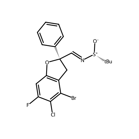 CC(C)(C)[S@@+]([O-])/N=C/[C@@]1(c2ccccc2)Cc2c(cc(F)c(Cl)c2Br)O1